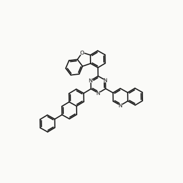 c1ccc(-c2ccc3cc(-c4nc(-c5cnc6ccccc6c5)nc(-c5cccc6oc7ccccc7c56)n4)ccc3c2)cc1